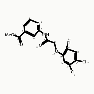 COC(=O)c1ccnc(NC(=O)COc2cc(Cl)c(Cl)cc2Cl)c1